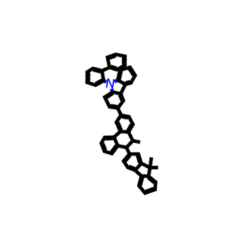 CC1c2ccc(-c3ccc4c(c3)c3ccccc3n4-c3ccccc3-c3ccccc3)cc2-c2ccccc2C1c1ccc2c(c1)C(C)(C)c1ccccc1-2